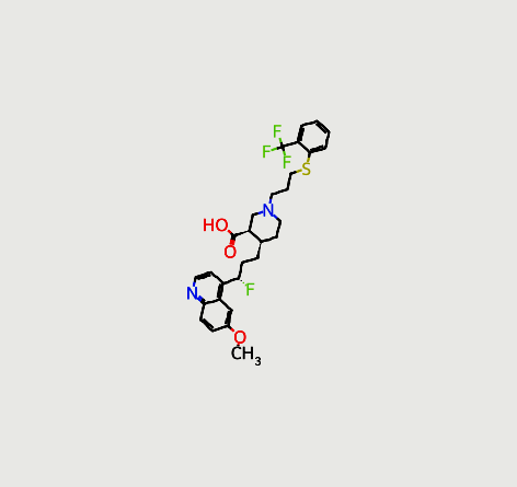 COc1ccc2nccc([C@@H](F)CC[C@@H]3CCN(CCCSc4ccccc4C(F)(F)F)C[C@@H]3C(=O)O)c2c1